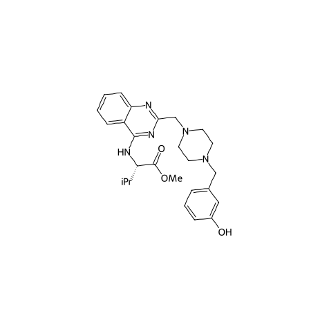 COC(=O)[C@@H](Nc1nc(CN2CCN(Cc3cccc(O)c3)CC2)nc2ccccc12)C(C)C